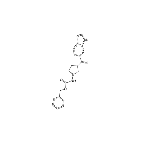 O=C(NN1CCC(C(=O)c2ccc3cc[nH]c3c2)C1)OCc1ccccc1